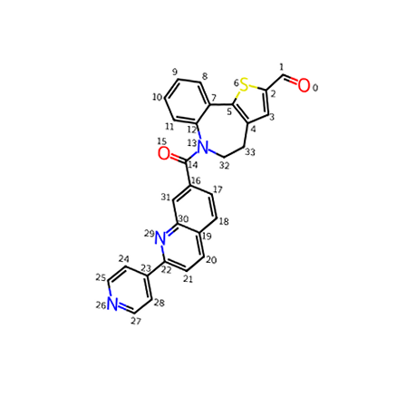 O=Cc1cc2c(s1)-c1ccccc1N(C(=O)c1ccc3ccc(-c4ccncc4)nc3c1)CC2